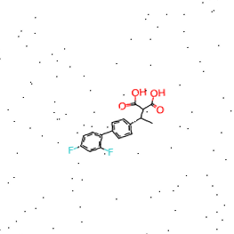 CC(c1ccc(-c2ccc(F)cc2F)cc1)C(C(=O)O)C(=O)O